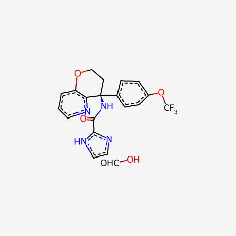 O=C(N[C@]1(c2ccc(OC(F)(F)F)cc2)CCOc2cccnc21)c1ncc[nH]1.O=CO